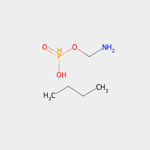 CCCC.NCO[PH](=O)O